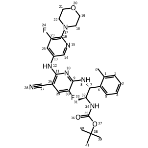 Cc1ccccc1[C@@H](Nc1nc(Nc2cnc(N3CCOCC3)c(F)c2)c(C#N)cc1F)[C@H](C)NC(=O)OC(C)(C)C